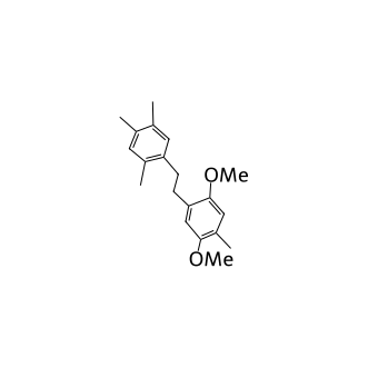 COc1cc(CCc2cc(C)c(C)cc2C)c(OC)cc1C